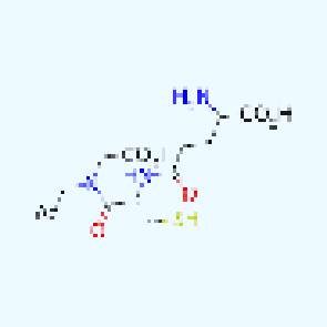 CC(=O)CN(CC(=O)O)C(=O)[C@@H](CS)NC(=O)CCC(N)C(=O)O